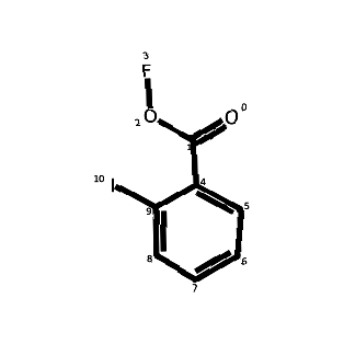 O=C(OF)c1ccccc1I